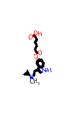 CN(CCc1c[nH]c2ccc(OC(=O)CCCCC(=O)O)cc12)C1CC1